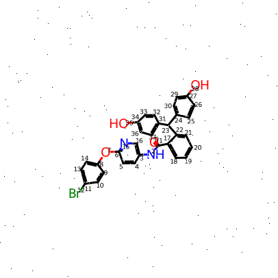 O=C(Nc1ccc(Oc2ccc(Br)cc2)nc1)c1ccccc1C(c1ccc(O)cc1)c1ccc(O)cc1